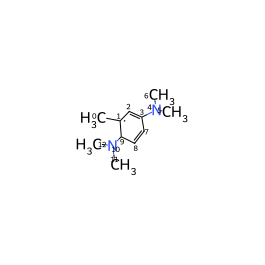 C[C]1C=C(N(C)C)C=CC1N(C)C